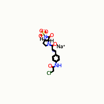 O=C(CCl)Nc1ccc(/C=C/C(=O)N2CC[C@@H]3[C@H]2C(=O)N3S(=O)(=O)[O-])cc1.[Na+]